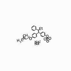 CC/C(=C(/c1ccc(OCCN(C)C)cc1)c1ccc(OP(=O)([O-])[O-])cc1)c1ccccc1.[Na+].[Na+]